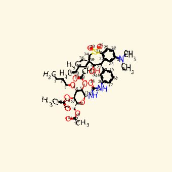 CCCCO[C@@H]1[C@@H](OC(C)=O)[C@H](NC(=O)Nc2cccc([C@@H]3c4cc(N(C)C)ccc4S(=O)(=O)C[C@@](CC)(CCCC)[C@@H]3O)c2)O[C@H](COC(C)=O)[C@H]1OC(C)=O